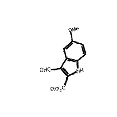 CCOC(=O)c1[nH]c2ccc(OC)cc2c1C=O